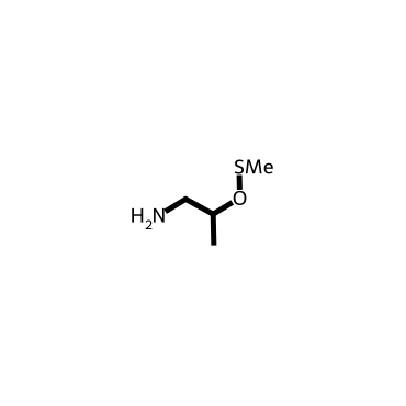 CSOC(C)CN